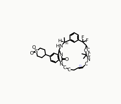 C[C@H]1Nc2nc(=O)n(c3ccc(C4CCS(=O)(=O)CC4)cc23)CCC/C=C/CN2CCC(CC2(C)C)C(F)(F)c2cccc1c2